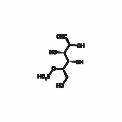 O=C[C@@H](O)[C@@H](O)[C@H](O)[C@@H](CO)OS(=O)(=O)O